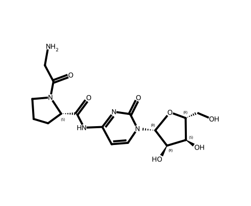 NCC(=O)N1CCC[C@H]1C(=O)Nc1ccn([C@@H]2O[C@H](CO)[C@@H](O)[C@H]2O)c(=O)n1